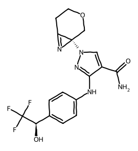 NC(=O)c1cn([C@@]23COCCC2=N3)nc1Nc1ccc([C@@H](O)C(F)(F)F)cc1